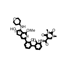 COc1nc(-c2cccc(-c3cccc(NC(=O)c4cn(C)c(=O)n(C)c4=O)c3Cl)c2Cl)cc2c1[C@@H](NC1CCOCC1)[C@@H](O)C2